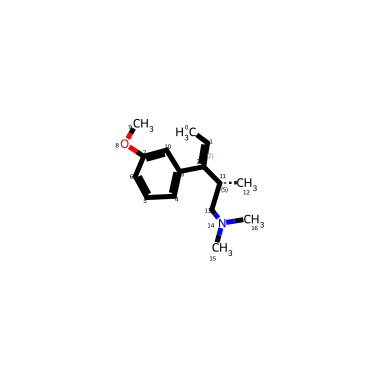 C/C=C(\c1cccc(OC)c1)[C@H](C)CN(C)C